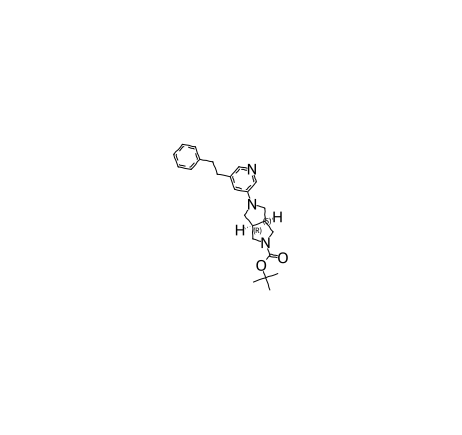 CC(C)(C)OC(=O)N1C[C@@H]2CN(c3cncc(CCc4ccccc4)c3)C[C@@H]2C1